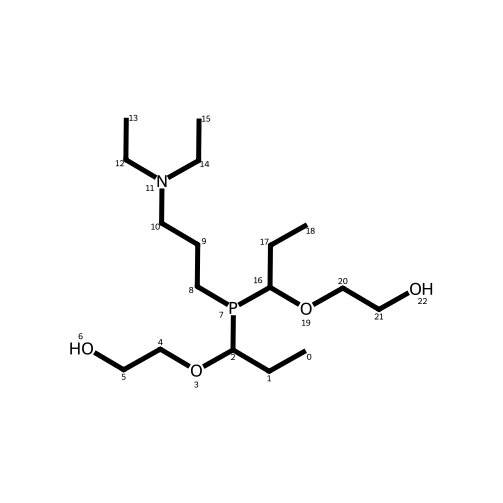 CCC(OCCO)P(CCCN(CC)CC)C(CC)OCCO